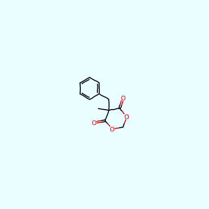 CC1(Cc2ccccc2)C(=O)OCOC1=O